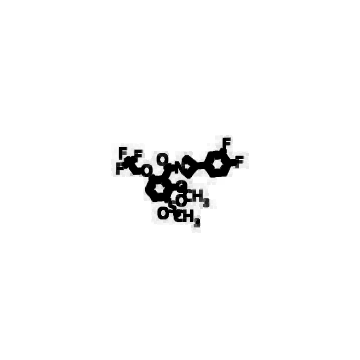 COc1c(S(C)(=O)=O)ccc(OCC(F)(F)F)c1C(=O)N1CC(c2ccc(F)c(F)c2)C1